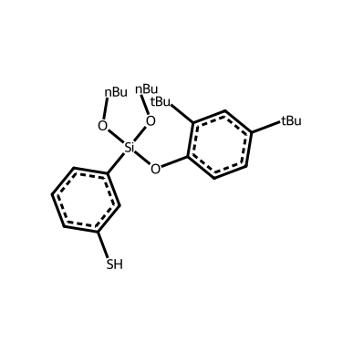 CCCCO[Si](OCCCC)(Oc1ccc(C(C)(C)C)cc1C(C)(C)C)c1cccc(S)c1